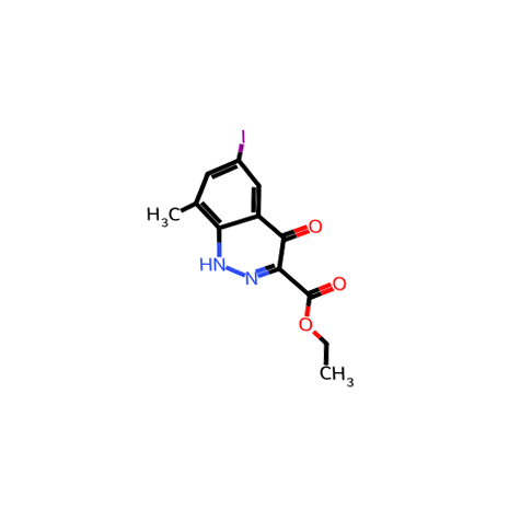 CCOC(=O)c1n[nH]c2c(C)cc(I)cc2c1=O